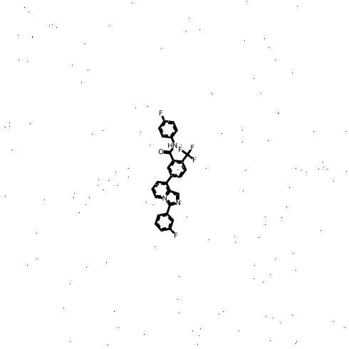 O=C(Nc1ccc(F)cc1)c1cc(-c2cccn3c(-c4cccc(F)c4)ncc23)ccc1C(F)(F)F